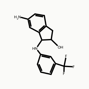 Nc1ccc2c(c1)C(Nc1cccc(C(F)(F)F)c1)C(O)C2